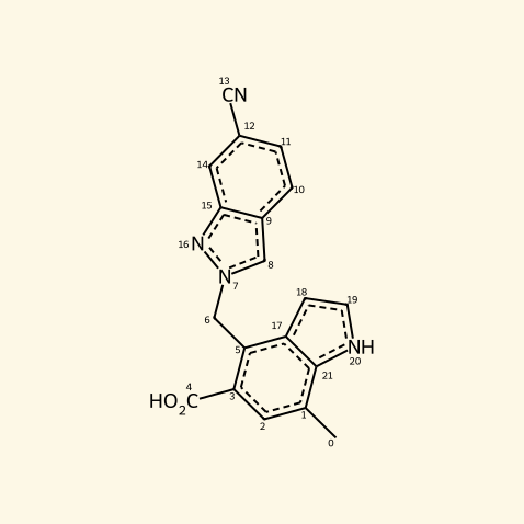 Cc1cc(C(=O)O)c(Cn2cc3ccc(C#N)cc3n2)c2cc[nH]c12